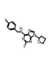 Fc1nc(NCc2ccc(I)cc2)c2ncn(C3CCCO3)c2n1